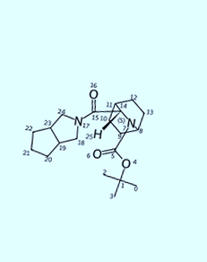 CC(C)(C)OC(=O)N1C2CCC(CC2)[C@H]1C(=O)N1CC2CCCC2C1